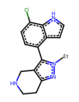 CCn1nc2c(c1-c1ccc(Cl)c3[nH]ccc13)CNCC2